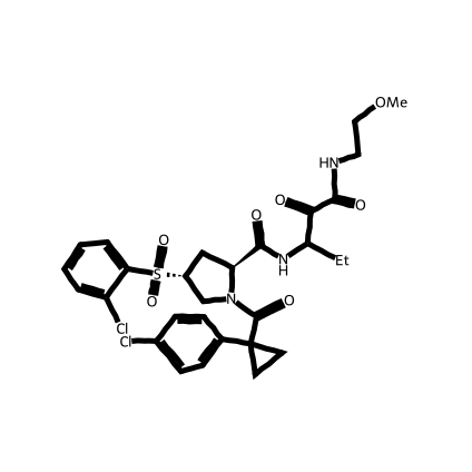 CCC(NC(=O)[C@@H]1C[C@@H](S(=O)(=O)c2ccccc2Cl)CN1C(=O)C1(c2ccc(Cl)cc2)CC1)C(=O)C(=O)NCCOC